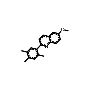 COc1ccc2nc(-c3cc(C)c(C)cc3C)ccc2c1